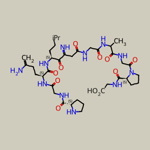 C=C(N)CC[C@H](NC(=O)CNC(=O)[C@@H]1CCCN1)C(=O)N[C@@H](CCC(C)C)C(=O)C(=N)CC(=O)NCC(=O)NC(C)C(=O)NCC(=O)N1CCC[C@H]1C(=O)NCC(=O)O